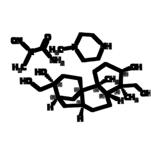 CN(N=O)C(N)=O.CN1CCNCC1.C[C@@]1(CO)[C@H](O)CC[C@@]2(C)[C@H]1CC[C@H]1C[C@@H]3C[C@@]12CC[C@]3(O)CO